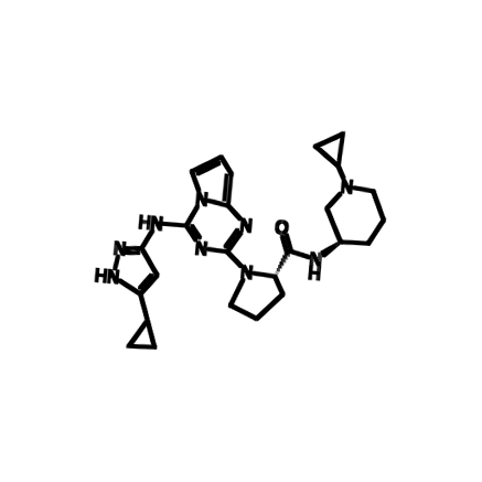 O=C(N[C@@H]1CCCN(C2CC2)C1)[C@@H]1CCCN1c1nc(Nc2cc(C3CC3)[nH]n2)n2cccc2n1